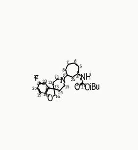 CC(C)COC(=O)NC1CCCCC(N2CCC3(CC2)COc2ccc(F)cc23)C1